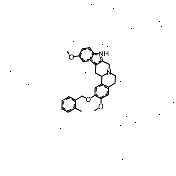 COc1ccc2[nH]c3c(c2c1)CC1c2cc(OCc4ccccc4C)c(OC)cc2CCN1C3